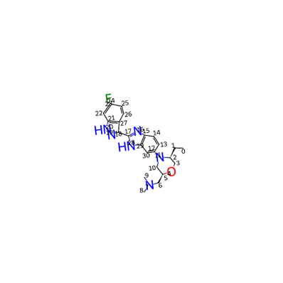 CC[C@H]1CO[C@@H](CN(C)C)CN1c1ccc2nc(-c3n[nH]c4cc(F)ccc34)[nH]c2c1